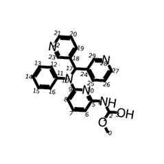 COC(O)Nc1cccc(N(c2ccccc2)C(c2cccnc2)c2cccnc2)n1